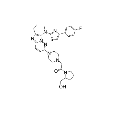 CCc1nc2ccc(N3CCN(CC(=O)N4CCCC4CO)CC3)nn2c1N(C)c1nc(-c2ccc(F)cc2)cs1